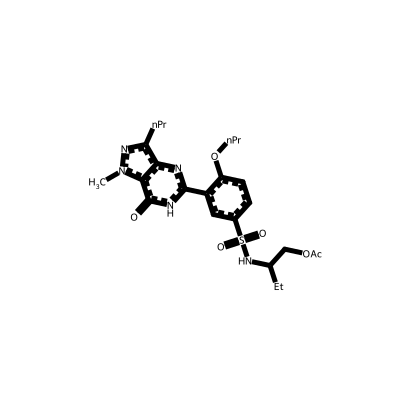 CCCOc1ccc(S(=O)(=O)NC(CC)COC(C)=O)cc1-c1nc2c(CCC)nn(C)c2c(=O)[nH]1